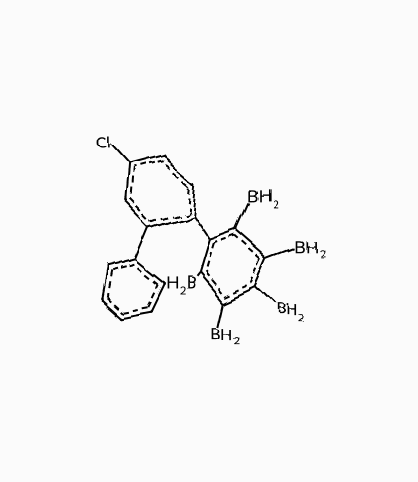 Bc1c(B)c(B)c(-c2ccc(Cl)cc2-c2ccccc2)c(B)c1B